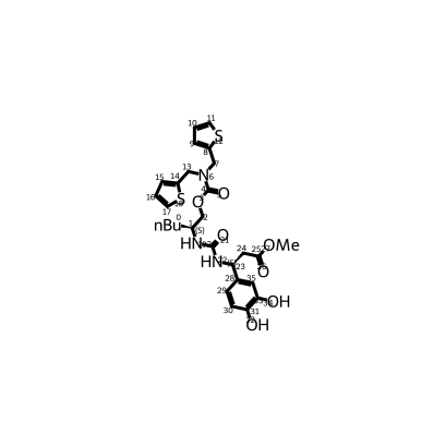 CCCC[C@@H](COC(=O)N(Cc1cccs1)Cc1cccs1)NC(=O)N[C@@H](CC(=O)OC)c1ccc(O)c(O)c1